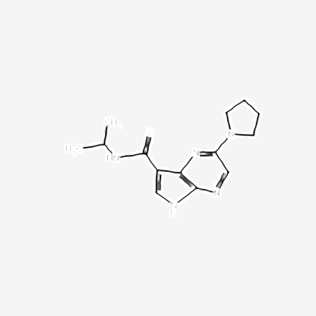 CC(C)NC(=O)c1c[nH]c2ncc(N3CCCC3)nc12